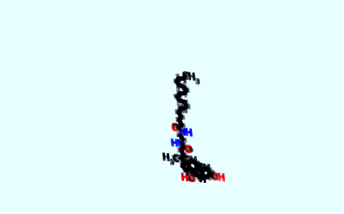 CC/C=C\C/C=C\C/C=C\C/C=C\C/C=C\CCCC(=O)NCCNC(=O)CC[C@@H](C)C1CC[C@H]2[C@@H]3[C@H](O)C[C@@H]4C[C@H](O)CC[C@]4(C)[C@H]3CC[C@]12C